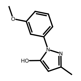 COc1cccc(-n2nc(C)cc2O)c1